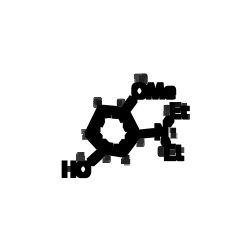 CCN(CC)c1cc(O)ccc1OC